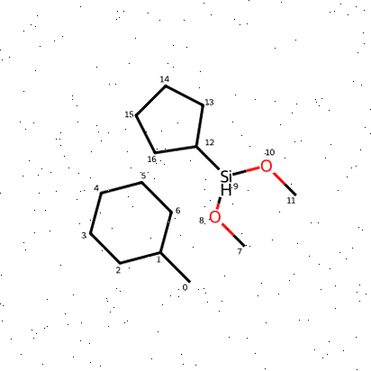 CC1CCCCC1.CO[SiH](OC)C1CCCC1